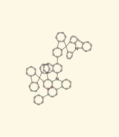 c1ccc(-c2ccc(-c3ccccc3N(c3cccc4c3-c3ccccc3C43c4ccccc4-c4ccccc43)c3ccc(-c4ccc5c(c4)C4(c6ccccc6-5)c5ccccc5-n5c6ccccc6c6cccc4c65)c4ccccc34)cc2)cc1